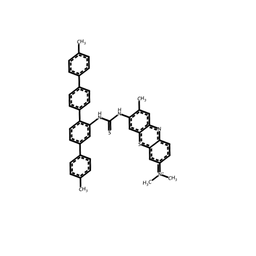 Cc1ccc(-c2ccc(-c3ccc(-c4ccc(C)cc4)cc3NC(=S)Nc3cc4sc5cc(=[N+](C)C)ccc-5nc4cc3C)cc2)cc1